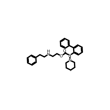 O=C(OCCNCCc1ccccc1)N(c1ccccc1-c1ccccc1)N1CC[CH]CC1